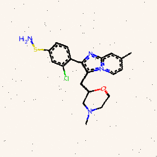 Cc1ccn2c(CC3CN(C)CCO3)c(-c3ccc(SN)cc3Cl)nc2c1